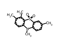 Cc1ccc2c(c1)S(=O)(=O)c1c(ccc(C)c1C)N2C